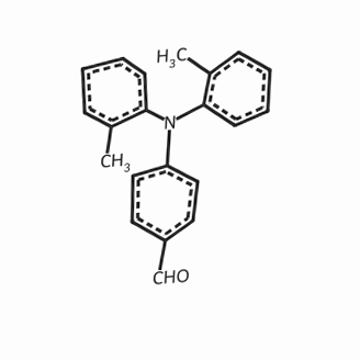 Cc1ccccc1N(c1ccc(C=O)cc1)c1ccccc1C